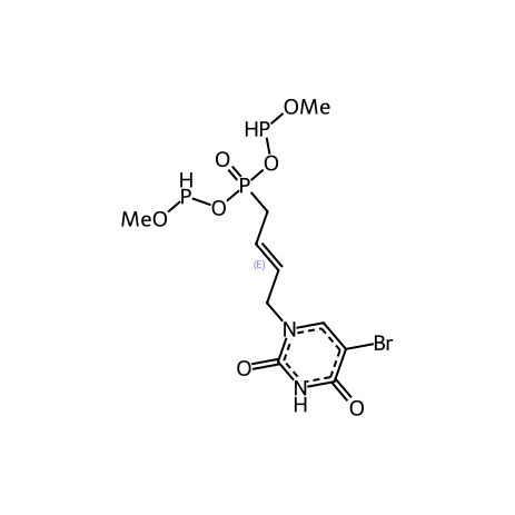 COPOP(=O)(C/C=C/Cn1cc(Br)c(=O)[nH]c1=O)OPOC